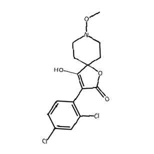 CON1CCC2(CC1)OC(=O)C(c1ccc(Cl)cc1Cl)=C2O